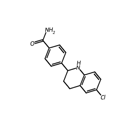 NC(=O)c1ccc(C2CCc3cc(Cl)ccc3N2)cc1